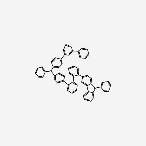 c1ccc(-c2cccc(-c3ccc4c(c3)c3cc(-c5ccccc5-c5ccccc5-c5ccc6c(c5)c5ccccc5n6-c5ccccc5)ccc3n4-c3ccccc3)c2)cc1